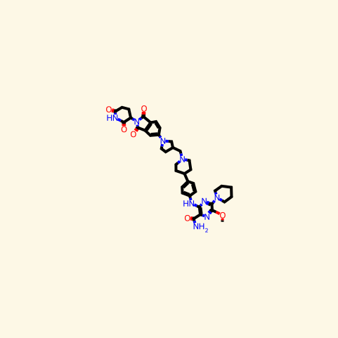 COc1nc(C(N)=O)c(Nc2ccc(C3CCN(CC4CCN(c5ccc6c(c5)C(=O)N(C5CCC(=O)NC5=O)C6=O)C4)CC3)cc2)nc1N1CCCCC1